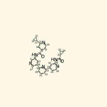 Cc1ncc(NC(=O)c2ccnc(C3CC3)c2)cc1-c1cccc(-c2ccnc(NC(=O)C3CC3)c2)n1